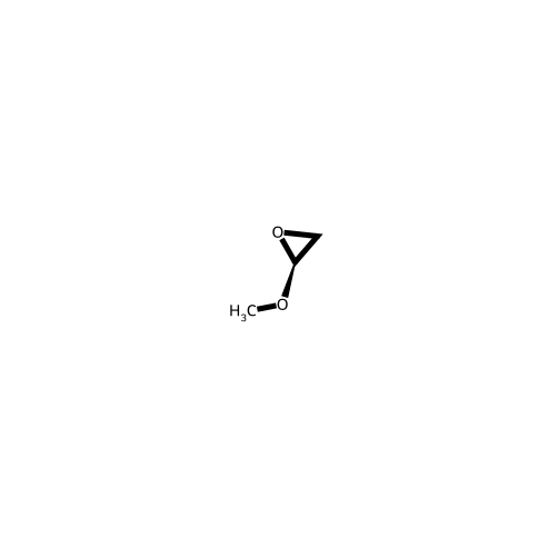 CO[C@@H]1CO1